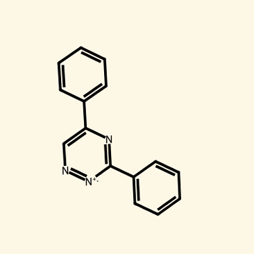 C1=C(c2ccccc2)N=C(c2ccccc2)[N+]=N1